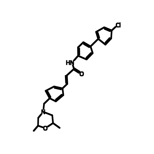 CC1CN(Cc2ccc(/C=C/C(=O)Nc3ccc(-c4ccc(Cl)cc4)cc3)cc2)CC(C)O1